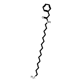 CCCCCCCCCCCCCCCCCNC(=O)Cc1ccccc1